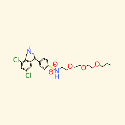 CCCOCCOCCOCCNS(=O)(=O)c1ccc([C@@H]2CN(C)Cc3c(Cl)cc(Cl)cc32)cc1